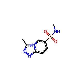 CNS(=O)(=O)c1ccc2nnc(C)n2c1